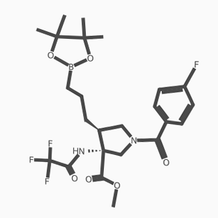 COC(=O)[C@]1(NC(=O)C(F)(F)F)CN(C(=O)c2ccc(F)cc2)C[C@@H]1CCCB1OC(C)(C)C(C)(C)O1